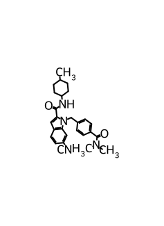 CC1CCC(NC(=O)c2cc3ccc(C#N)cc3n2Cc2ccc(C(=O)N(C)C)cc2)CC1